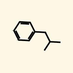 CC(C)Cc1c[c][c]cc1